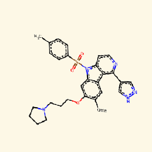 COc1cc2c3c(-c4cn[nH]c4)nccc3n(S(=O)(=O)c3ccc(C)cc3)c2cc1OCCCN1CCCC1